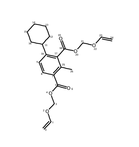 C=COCOC(=O)c1ccc(C2CCCCC2)c(C(=O)OCOC=C)c1C